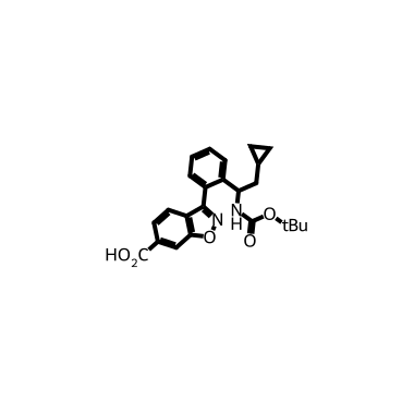 CC(C)(C)OC(=O)NC(CC1CC1)c1ccccc1-c1noc2cc(C(=O)O)ccc12